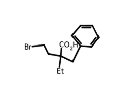 CCC(CCBr)(Cc1ccccc1)C(=O)O